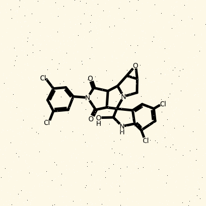 O=C1C2C3C4OC4CN3C3(c4cc(Cl)cc(Cl)c4NC3O)C2C(=O)N1c1cc(Cl)cc(Cl)c1